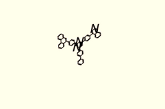 c1ccc(-c2ccc(-c3cc(-c4ccc(-c5cncc6ccccc56)cc4)nc(-c4ccc(-c5cc6ccccc6c6ccccc56)cc4)n3)cc2)cc1